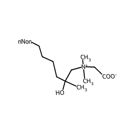 CCCCCCCCCCCCCC(C)(O)C[N+](C)(C)CC(=O)[O-]